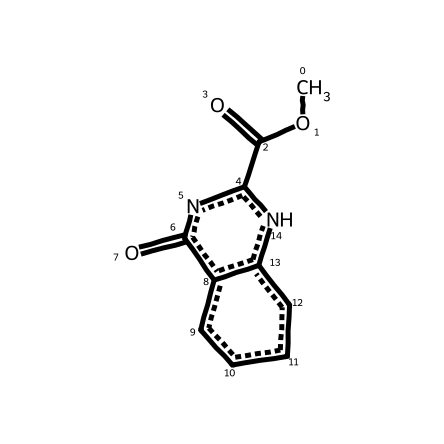 COC(=O)c1nc(=O)c2ccccc2[nH]1